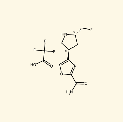 NC(=O)c1nc([C@H]2CN[C@H](CF)C2)co1.O=C(O)C(F)(F)F